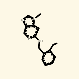 CCc1ccccc1CNc1cc2c(cn1)ncn2C